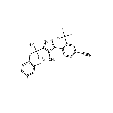 Cn1c(-c2ccc(C#N)cc2C(F)(F)F)nnc1C(C)(C)Oc1ccc(F)cc1F